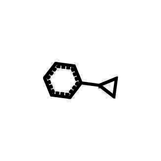 c1ccc([C]2CC2)cc1